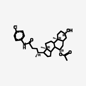 CC(=O)O[C@H]1CC2C[C@H](O)CC[C@]2(C)C2CC[C@@]3(C)C(CCC3[C@H](C)CCC(=O)Nc3ccc(Cl)cc3)C21